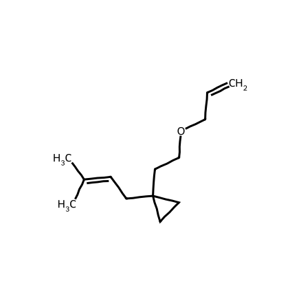 C=CCOCCC1(CC=C(C)C)CC1